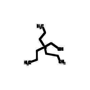 CCC[Si](CO)(CCC)CCC